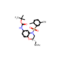 CC(=O)NC[C@H]1CN(S(=O)(=O)c2cc(C#N)ccc2C)c2cc(NC(=O)OC(C)(C)C(F)(F)F)ccc2O1